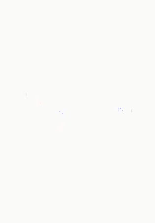 CC(C)NC(C)c1ccc(-c2ccn(CCOCC(C)(C)C)c(=O)c2)cc1